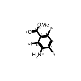 COC(=O)c1c(I)cc(I)c(N)c1I